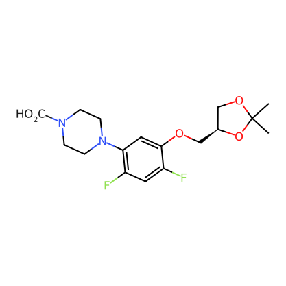 CC1(C)OC[C@H](COc2cc(N3CCN(C(=O)O)CC3)c(F)cc2F)O1